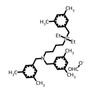 CC[N+](CC)(CCCCN(Cc1cc(C)cc(C)c1)Cc1cc(C)cc(C)c1)Cc1cc(C)cc(C)c1.O=C[O-]